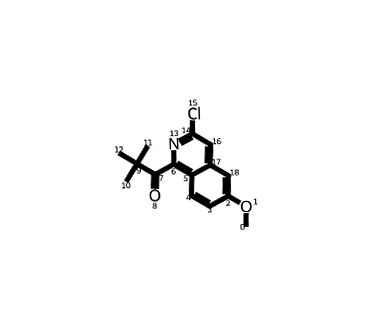 COc1ccc2c(C(=O)C(C)(C)C)nc(Cl)cc2c1